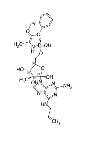 C=CCNc1nc(N)nc2c1ncn2[C@@]1(O)O[C@H](CO[P@](O)(=S)NC(C)=C(Oc2ccccc2)OC(C)C)[C@@H](O)[C@@]1(C)O